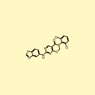 O=C1c2cnc(Nc3ccc4scnc4c3)nc2OCN1c1c(Cl)cccc1Cl